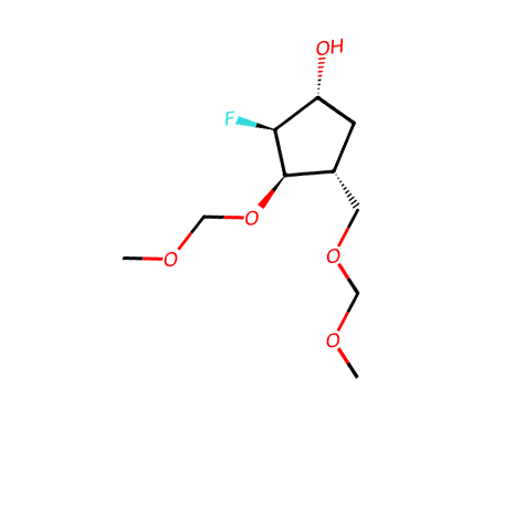 COCOC[C@H]1C[C@@H](O)[C@H](F)[C@@H]1OCOC